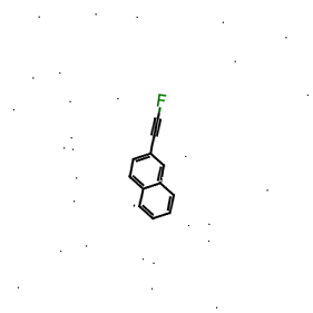 FC#Cc1ccc2[c]cccc2c1